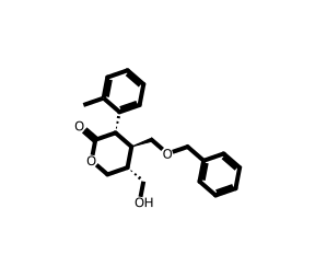 Cc1ccccc1[C@H]1C(=O)OC[C@@H](CO)[C@@H]1COCc1ccccc1